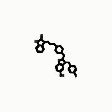 O=c1[nH]c2ccccc2n1CCCN1CCC(Cc2nc3ccc(O)cc3n2Cc2ccc(F)cc2)CC1